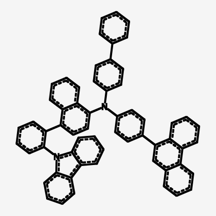 c1ccc(-c2ccc(N(c3ccc(-c4cc5ccccc5c5ccccc45)cc3)c3ccc(-c4ccccc4-n4c5ccccc5c5ccccc54)c4ccccc34)cc2)cc1